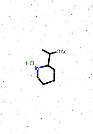 CC(=O)OC(C)C1CCCCN1.Cl